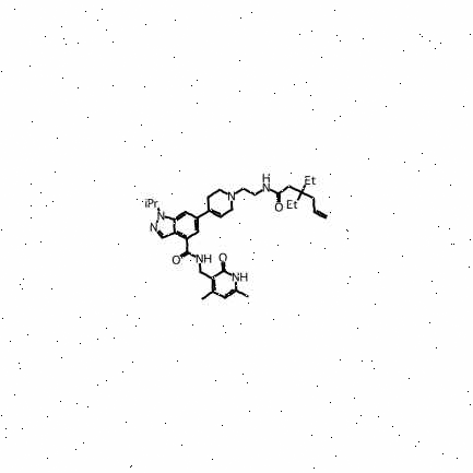 C=CCC(CC)(CC)CC(=O)NCCN1CC=C(c2cc(C(=O)NCc3c(C)cc(C)[nH]c3=O)c3cnn(C(C)C)c3c2)CC1